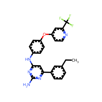 CCc1cccc(-c2cc(Nc3ccc(Oc4ccnc(C(F)(F)F)c4)cc3)nc(N)n2)c1